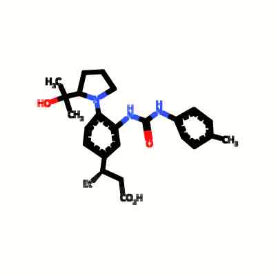 CC[C@H](CC(=O)O)c1ccc(N2CCCC2C(C)(C)O)c(NC(=O)Nc2ccc(C)cc2)c1